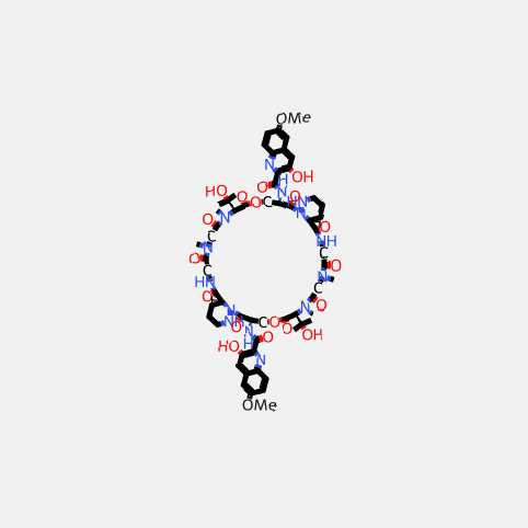 COc1ccc2nc(C(=O)N[C@@H]3COC(=O)[C@H](C(C)(C)O)N(C)C(=O)CN(C)C(=O)CNC(=O)[C@@H]4CCCNN4C(=O)[C@H](NC(=O)c4nc5ccc(OC)cc5cc4O)COC(=O)[C@H](C(C)(C)O)N(C)C(=O)CN(C)C(=O)CNC(=O)[C@@H]4CCCNN4C3=O)c(O)cc2c1